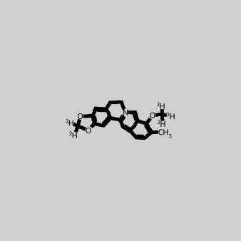 [2H]C([2H])([2H])Oc1c(C)ccc2cc3[n+](cc12)CCc1cc2c(cc1-3)OC([2H])([2H])O2